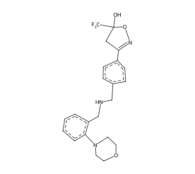 OC1(C(F)(F)F)CC(c2ccc(CNCc3ccccc3N3CCOCC3)cc2)=NO1